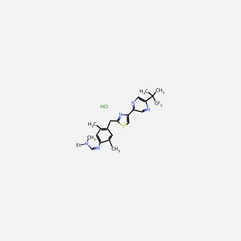 CCN(C)/C=N\c1cc(C)c(Cc2nc(-c3cnc(C(C)(C)C(F)(F)F)cn3)cs2)cc1C.Cl